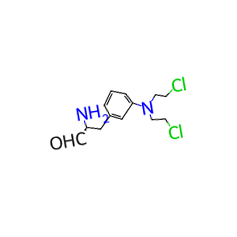 N[C@H](C=O)Cc1cccc(N(CCCl)CCCl)c1